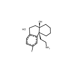 Cl.NCC[C@]12CCCC[C@@]1(O)CCc1ccc(F)cc12